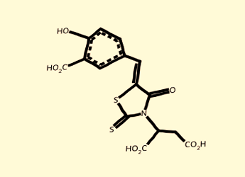 O=C(O)CC(C(=O)O)N1C(=O)C(=Cc2ccc(O)c(C(=O)O)c2)SC1=S